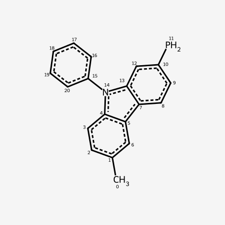 Cc1ccc2c(c1)c1ccc(P)cc1n2-c1ccccc1